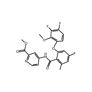 COC(=O)c1cc(NC(=O)c2c(C)cc(F)cc2Oc2ccc(F)c(F)c2OC)ccn1